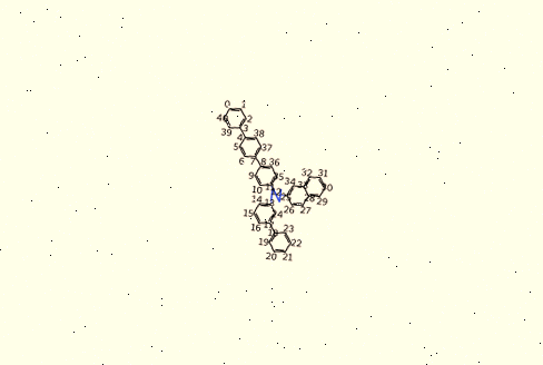 c1ccc(-c2ccc(-c3ccc(N(c4cccc(-c5ccccc5)c4)c4ccc5ccccc5c4)cc3)cc2)cc1